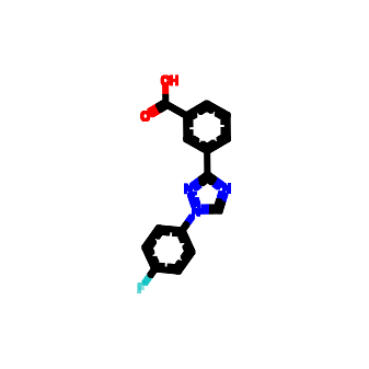 O=C(O)c1cccc(-c2ncn(-c3ccc(F)cc3)n2)c1